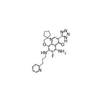 Nc1c(F)c(NCCCc2ccccn2)c2c3c1c(=O)c(-c1nnn[nH]1)cn3C1(CCCC1)CO2